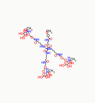 COC1CCC(C(=O)NCCCCC(C(=O)NCCCCCC(=O)NCCOCCOC2OC(CO)C(O)C(O)C2NC(C)=O)C(CC(=O)NCCCCCC(=O)NCCOCCOC2OC(CO)C(O)C(O)C2NC(C)=O)CC(=O)NCCCCCC(=O)NCCOCCOC2OC(CO)C(O)C(O)C2NC(C)=O)CC1